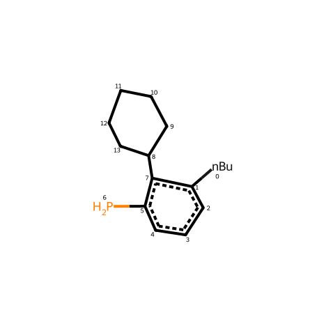 CCCCc1cccc(P)c1C1CCCCC1